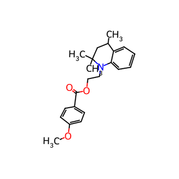 COc1ccc(C(=O)OCCN2c3ccccc3C(C)CC2(C)C)cc1